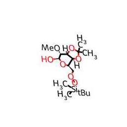 CO[C@@H]1[C@H]2OC(C)(C)O[C@H]2[C@@H](COO[Si](C)(C)C(C)(C)C)O[C@H]1O